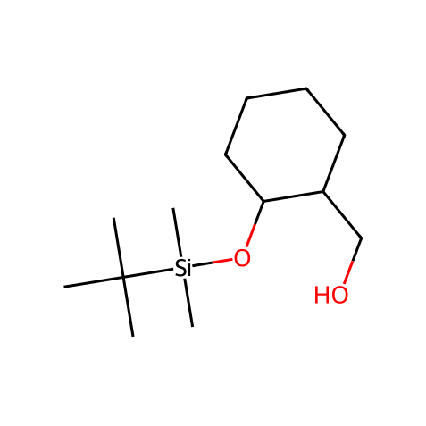 CC(C)(C)[Si](C)(C)OC1CCCCC1CO